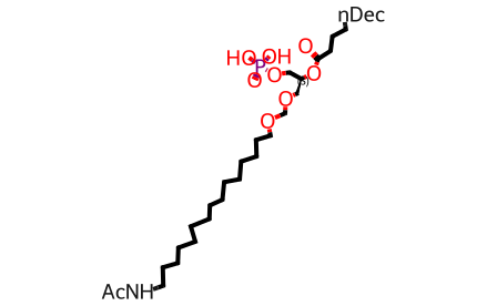 CCCCCCCCCCCCCC(=O)O[C@@H](COCOCCCCCCCCCCCCCCCNC(C)=O)COP(=O)(O)O